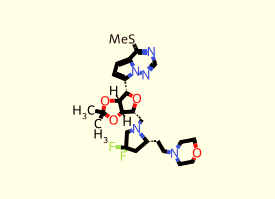 CSc1ncnn2c([C@@H]3O[C@H](CN4CC(F)(F)C[C@H]4CCN4CCOCC4)[C@H]4OC(C)(C)O[C@H]43)ccc12